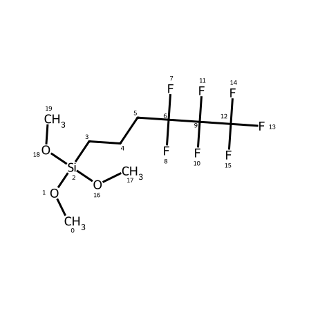 CO[Si](CCCC(F)(F)C(F)(F)C(F)(F)F)(OC)OC